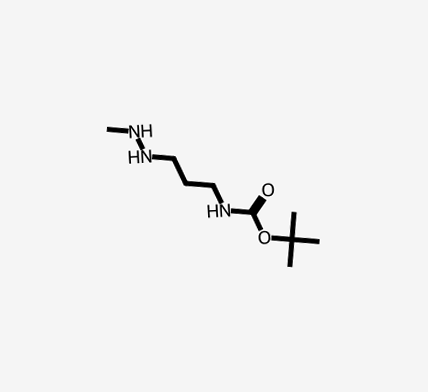 CNNCCCNC(=O)OC(C)(C)C